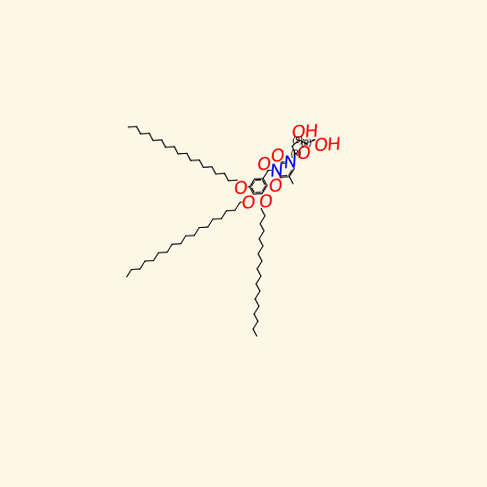 CCCCCCCCCCCCCCCCCCOc1cc(C(=O)n2c(=O)c(C)cn([C@H]3C[C@H](O)[C@@H](CO)O3)c2=O)cc(OCCCCCCCCCCCCCCCCCC)c1OCCCCCCCCCCCCCCCCCC